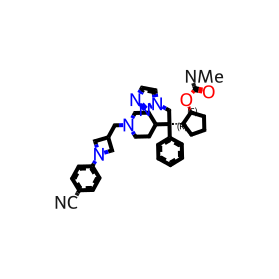 CNC(=O)O[C@H]1CCC[C@@H]1C(Cn1ccnn1)(c1ccccc1)C1CCN(CC2CN(c3ccc(C#N)cc3)C2)CC1